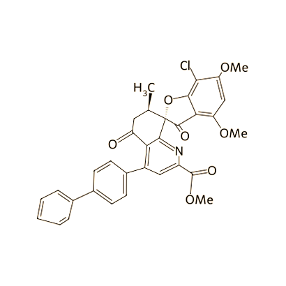 COC(=O)c1cc(-c2ccc(-c3ccccc3)cc2)c2c(n1)[C@@]1(Oc3c(Cl)c(OC)cc(OC)c3C1=O)[C@H](C)CC2=O